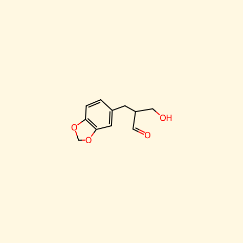 O=CC(CO)Cc1ccc2c(c1)OCO2